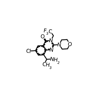 CC(N)c1cc(Cl)cc2c(=O)n(CC(F)(F)F)c(N3CCOCC3)nc12